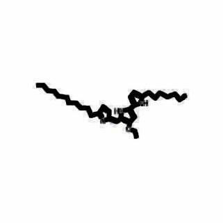 CCCCCCCCCCCC1=N/C(=C/c2[nH]c(-c3ccc(CCCCCCC)[nH]3)cc2OCC)C=C1